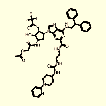 CC(=O)OCC(=O)N[C@H]1C[C@@H](n2cnc3c(NCC(c4ccccc4)c4ccccc4)nc(C(=O)NCCNC(=O)NC4CCN(c5ccccn5)CC4)nc32)[C@H](OC(=O)C(F)(F)F)[C@@H]1O